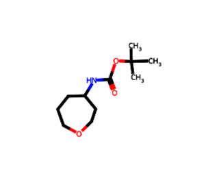 CC(C)(C)OC(=O)NC1CCCOCC1